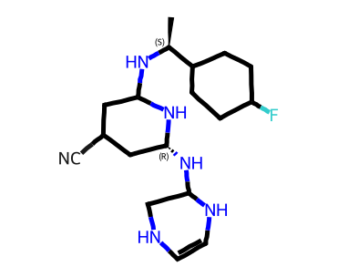 C[C@H](NC1CC(C#N)C[C@@H](NC2CNC=CN2)N1)C1CCC(F)CC1